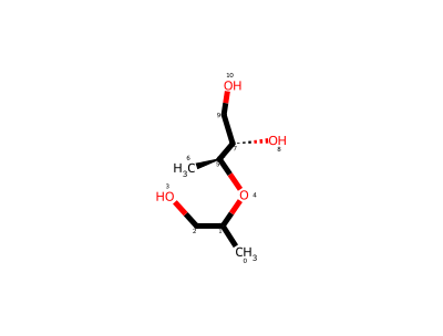 CC(CO)O[C@@H](C)[C@@H](O)CO